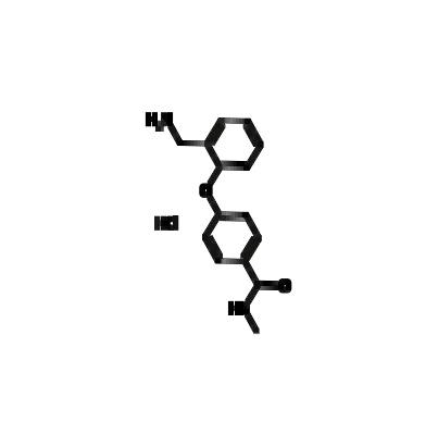 CNC(=O)c1ccc(Oc2ccccc2CN)cc1.Cl